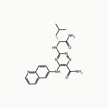 CC(C)C[C@@H](Nc1nnc(C(N)=O)c(Nc2ccc3ncccc3c2)n1)C(N)=O